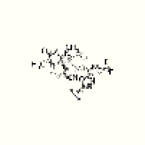 CN(c1cc(=O)n(C)c2ccc(C#N)nc12)C1CCC(/C(=N/OC(F)F)c2nnc(C3CC3)o2)CC1